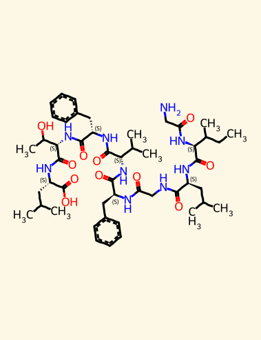 CCC(C)[C@H](NC(=O)CN)C(=O)N[C@@H](CC(C)C)C(=O)NCC(=O)N[C@@H](Cc1ccccc1)C(=O)N[C@H](C(=O)N[C@@H](Cc1ccccc1)C(=O)N[C@H](C(=O)N[C@@H](CC(C)C)C(=O)O)C(C)O)C(C)C